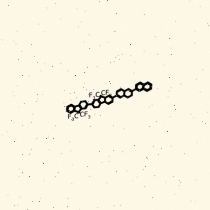 FC(F)(F)C1(C(F)(F)F)C2=C(CCC(C3=CC4=C(CC3)C3C=CC(C5=CC6CCC(c7ccc8ccccc8c7)=CC6C=C5)=CC3C4(C(F)(F)F)C(F)(F)F)=C2)c2ccccc21